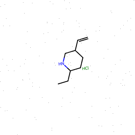 C=CC1CCC(CC)NC1.Cl